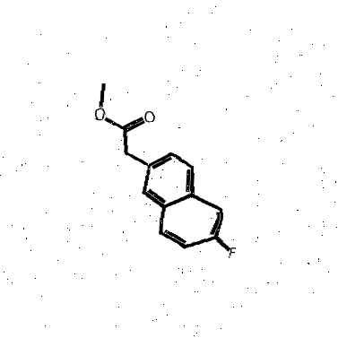 COC(=O)Cc1ccc2cc(F)ccc2c1